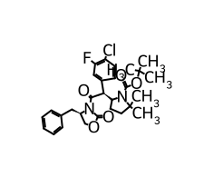 CC(C)(C)OC(=O)N1C([C@@H](C(=O)N2C(=O)OC[C@H]2Cc2ccccc2)c2ccc(Cl)c(F)c2)CCC1(C)C